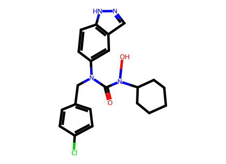 O=C(N(Cc1ccc(Cl)cc1)c1ccc2[nH]ncc2c1)N(O)C1CCCCC1